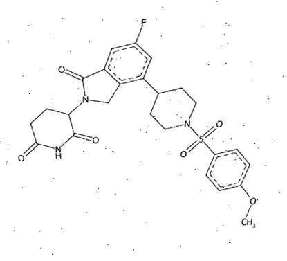 COc1ccc(S(=O)(=O)N2CCC(c3cc(F)cc4c3CN(C3CCC(=O)NC3=O)C4=O)CC2)cc1